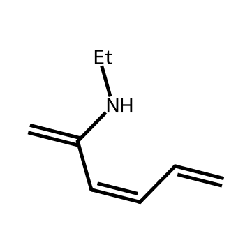 C=C/C=C\C(=C)NCC